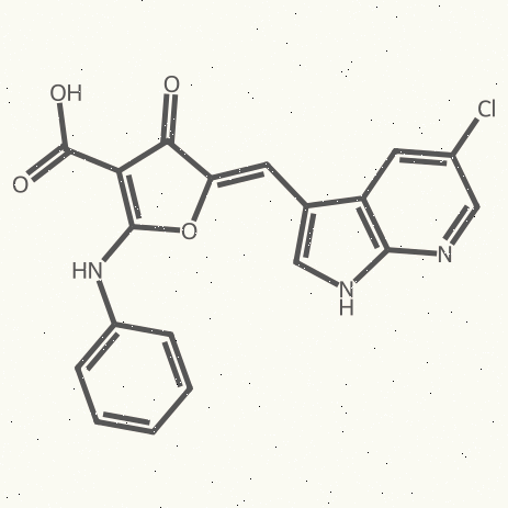 O=C(O)C1=C(Nc2ccccc2)O/C(=C\c2c[nH]c3ncc(Cl)cc23)C1=O